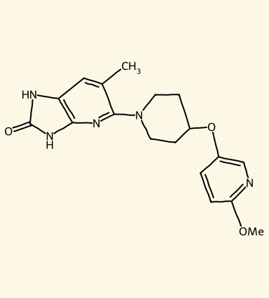 COc1ccc(OC2CCN(c3nc4[nH]c(=O)[nH]c4cc3C)CC2)cn1